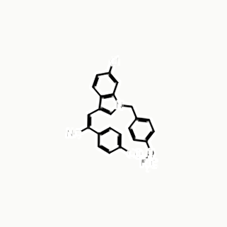 N#CC(=Cc1cn(Cc2ccc(OC(F)(F)F)cc2)c2cc(Cl)ccc12)c1ccc(C(=O)O)cc1